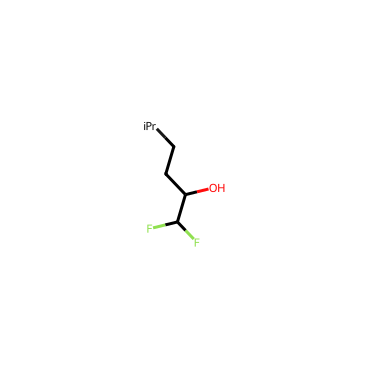 CC(C)CCC(O)C(F)F